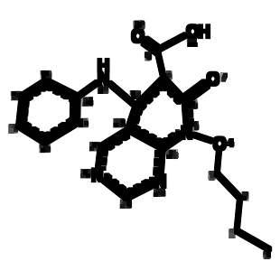 CCCCOn1c(=O)c(C(=O)O)c(Nc2ccccc2)c2cncnc21